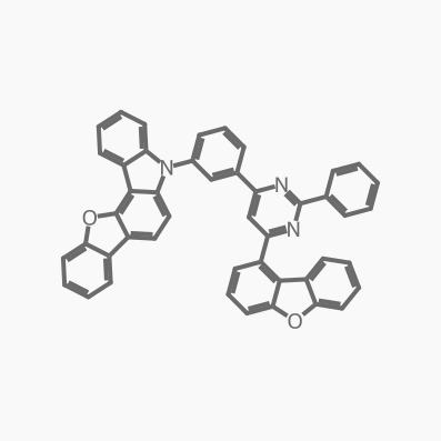 c1ccc(-c2nc(-c3cccc(-n4c5ccccc5c5c6oc7ccccc7c6ccc54)c3)cc(-c3cccc4oc5ccccc5c34)n2)cc1